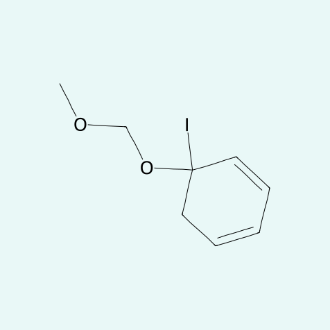 COCOC1(I)C=CC=CC1